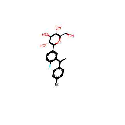 CCc1ccc(C(C)c2cc([C@@H]3O[C@H](CO)[C@@H](O)[C@H](O)[C@H]3O)ccc2F)cc1